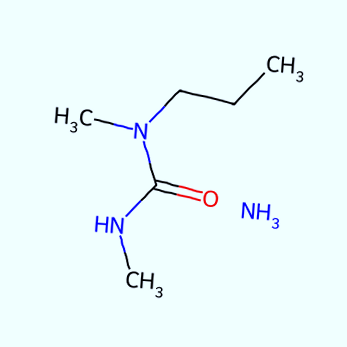 CCCN(C)C(=O)NC.N